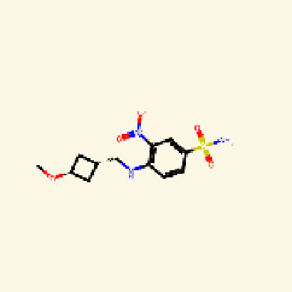 CO[C@H]1C[C@H](CNc2ccc(S(N)(=O)=O)cc2[N+](=O)[O-])C1